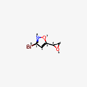 Brc1cc(C2CO2)on1